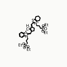 CCOP(=O)(CCCN1/C(=C/C2=C(C)C(=C/c3sc4c([n+]3CCCP(=O)(OCC)OCC)CCCC4)/CC2)Sc2ccccc21)OCC